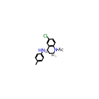 CC(=O)N1c2ccc(Cl)cc2[C@@H](Nc2ccc(C)cc2)C[C@H]1C